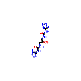 O=C(NCC(O)CNC(=O)Nc1nnn[nH]1)Nc1nnn[nH]1